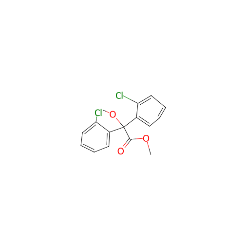 COC(=O)C(OC)(c1ccccc1Cl)c1ccccc1Cl